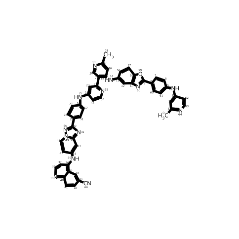 Cc1cc(Nc2ccc(-c3nc4cc(Nc5cc(C)ncc5-c5cc(Nc6ccc(-c7nc8cc(Nc9ccnc%10ccc(C#N)cc9%10)ccn8n7)cc6)ccn5)ccc4o3)cc2)ccn1